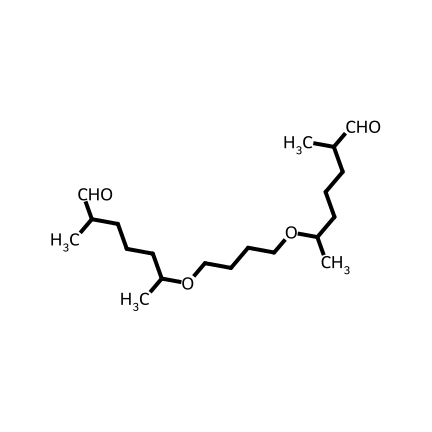 CC(C=O)CCCC(C)OCCCCOC(C)CCCC(C)C=O